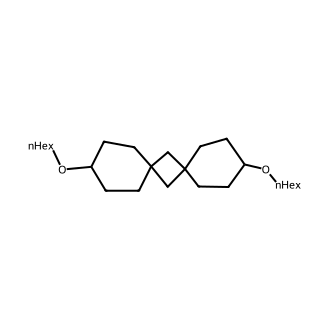 CCCCCCOC1CCC2(CC1)CC1(CCC(OCCCCCC)CC1)C2